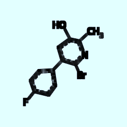 Cc1nc(Br)c(-c2ccc(F)cc2)cc1O